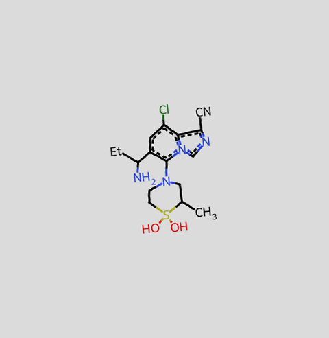 CCC(N)c1cc(Cl)c2c(C#N)ncn2c1N1CCS(O)(O)C(C)C1